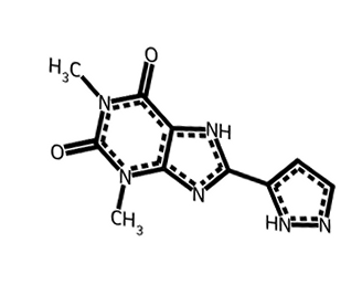 Cn1c(=O)c2[nH]c(-c3ccn[nH]3)nc2n(C)c1=O